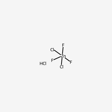 Cl.[F][Zn]([F])([F])([Cl])[Cl]